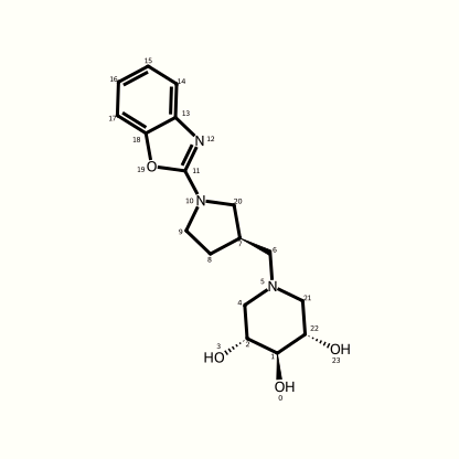 O[C@H]1[C@H](O)CN(C[C@H]2CCN(c3nc4ccccc4o3)C2)C[C@@H]1O